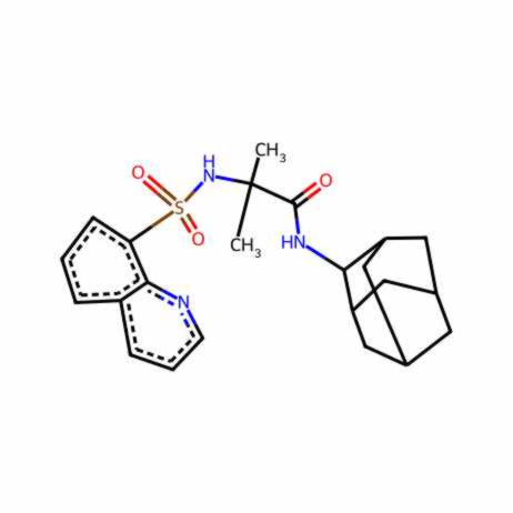 CC(C)(NS(=O)(=O)c1cccc2cccnc12)C(=O)NC1C2CC3CC(C2)CC1C3